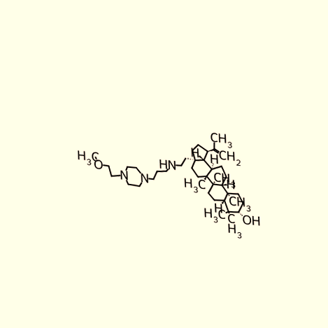 C=C(C)[C@@H]1CC[C@]2(CCNCCCN3CCN(CCOC)CC3)CC[C@]3(C)[C@H](CC[C@@H]4[C@@]5(C)CC[C@H](O)C(C)(C)[C@@H]5CC[C@]43C)[C@@H]12